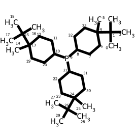 CC(C)(C)C1(C)CCC(P(C2CCC(C)(C(C)(C)C)CC2)C2CCC(C)(C(C)(C)C)CC2)CC1